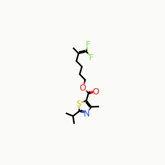 CC(CCCCOC(=O)c1sc(C(C)C)nc1C)=C(F)F